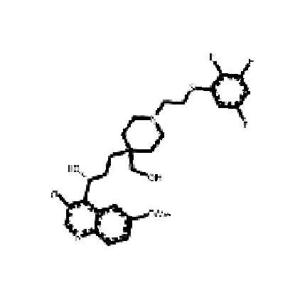 COc1ccc2ncc(Cl)c([C@H](O)CCC3(CO)CCN(CCSc4cc(F)cc(F)c4F)CC3)c2c1